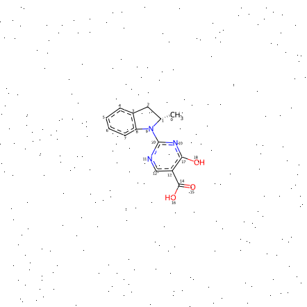 C[C@H]1Cc2ccccc2N1c1ncc(C(=O)O)c(O)n1